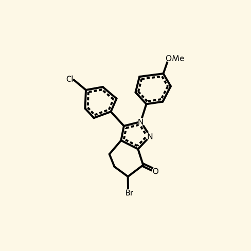 COc1ccc(-n2nc3c(c2-c2ccc(Cl)cc2)CCC(Br)C3=O)cc1